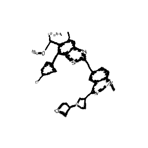 Cc1cc2nc(-c3ccc4c(c3)c(C3CN(C5COC5)C3)nn4C)sc2c(-c2ccc(Cl)cc2)c1C(OC(C)(C)C)C(=O)O